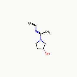 C=C/N=C(\C)N1CC[C@@H](O)C1